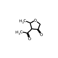 CC(=O)C1C(=O)COC1C